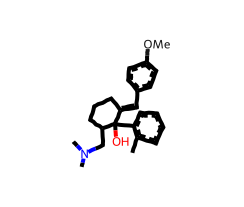 COc1ccc(C=C2CCCC(CN(C)C)C2(O)c2ccccc2C)cc1